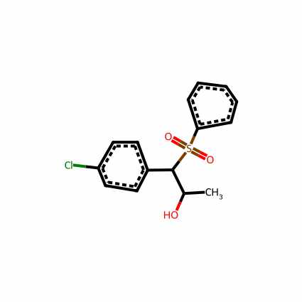 CC(O)C(c1ccc(Cl)cc1)S(=O)(=O)c1ccccc1